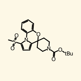 CC(C)(C)OC(=O)N1CCC2(CC1)Oc1ccccc1-n1c2ccc1S(C)(=O)=O